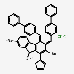 CC(C)(C)c1ccc2c(c1)[CH]([Zr+2])c1c(C3=CC=CC3)c(C(C)(C)C)c(=Cc3ccc(-c4ccccc4)cc3)c(=Cc3ccc(-c4ccccc4)cc3)c1-2.[Cl-].[Cl-]